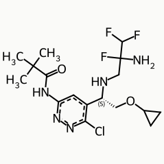 CC(C)(C)C(=O)Nc1cc([C@@H](COC2CC2)NCC(N)(F)C(F)F)c(Cl)nn1